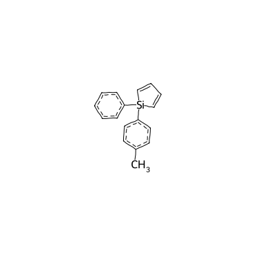 Cc1ccc([Si]2(c3ccccc3)C=CC=C2)cc1